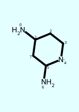 NC1CC[N]C(N)C1